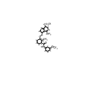 CCOC(=O)c1cnc(N)c2c(COc3cccc(C(=O)Nc4cccc(OC(F)(F)F)c4)c3C)csc12